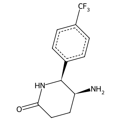 N[C@H]1CCC(=O)N[C@H]1c1ccc(C(F)(F)F)cc1